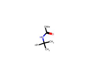 CCCC(C)(C)NC(=O)OC